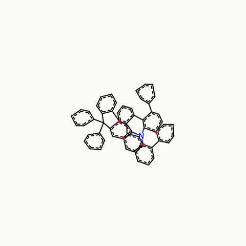 c1ccc(-c2ccccc2-c2c(-c3ccccc3)cccc2N(c2ccc3c(c2)-c2ccccc2C3(c2ccccc2)c2ccccc2)c2ccccc2-c2ccccc2)cc1